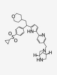 O=S(=O)(c1ccc(C(CC2CCOCC2)c2ccc(-c3ccc(CN4C[C@@H]5C[C@H]4CN5)cn3)[nH]2)cc1)C1CC1